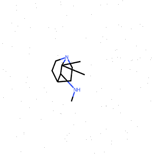 CNC1C2CCN(CC2)C1(C)C